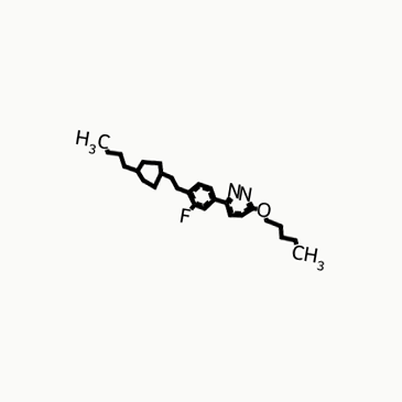 CCCCCOc1ccc(-c2ccc(CCC3CCC(CCCC)CC3)c(F)c2)nn1